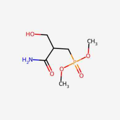 COP(=O)(CC(CO)C(N)=O)OC